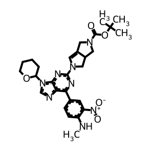 CNc1ccc(-c2nc(N3C=C4CN(C(=O)OC(C)(C)C)CC4C3)nc3c2ncn3C2CCCCO2)cc1[N+](=O)[O-]